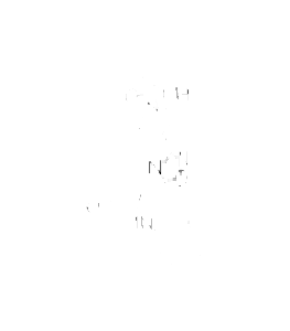 CC1(C(=O)N2CCC(c3noc(C4CC(C5CCOC5)NC5(CCCCCCCCC5)C4)n3)CC2)CCC1